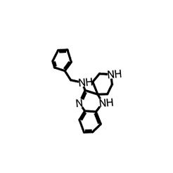 c1ccc(CNC2=Nc3ccccc3NC23CCNCC3)cc1